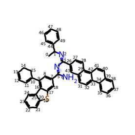 CC(/N=C(\N=C(/N)c1cc(C2=CC=CCC2)c2c(c1)sc1ccccc12)c1ccc2c(ccc3c4ccccc4ccc23)c1)c1ccccc1